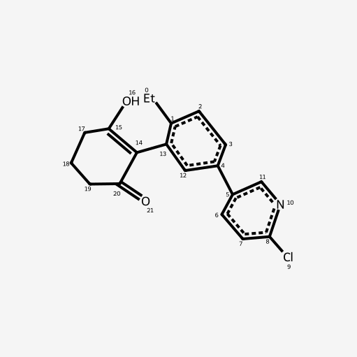 CCc1ccc(-c2ccc(Cl)nc2)cc1C1=C(O)CCCC1=O